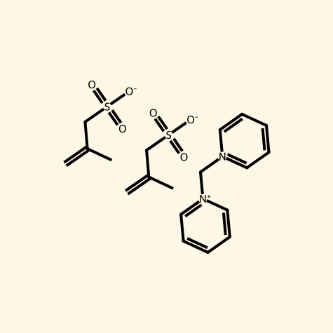 C=C(C)CS(=O)(=O)[O-].C=C(C)CS(=O)(=O)[O-].c1cc[n+](C[n+]2ccccc2)cc1